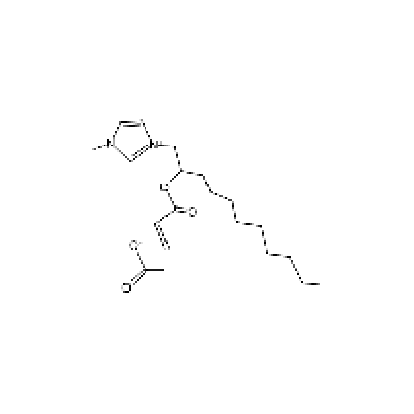 C=CC(=O)OC(CCCCCCCCC)C[n+]1ccn(C)c1.CC(=O)[O-]